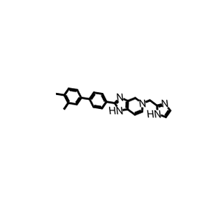 Cc1ccc(-c2ccc(-c3nc4c([nH]3)C=CN(Cc3ncc[nH]3)C4)cc2)cc1C